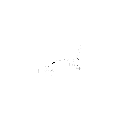 C=C(OCC[Si](C)(C)C)[C@H](CCCCCC#C[C@@H]1C[C@]1(N)C(=O)OCC)NC(=O)C(F)(F)F